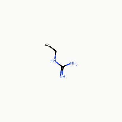 CC(=O)CNC(=N)N